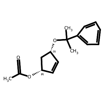 CC(=O)O[C@H]1C=C[C@@H](OC(C)(C)c2ccccc2)C1